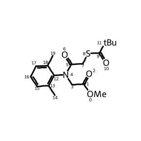 COC(=O)CN(C(=O)CSC(=O)C(C)(C)C)c1c(C)cccc1C